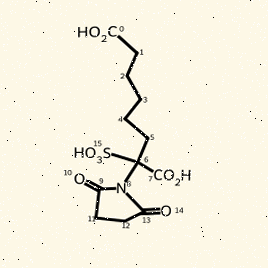 O=C(O)CCCCCC(C(=O)O)(N1C(=O)CCC1=O)S(=O)(=O)O